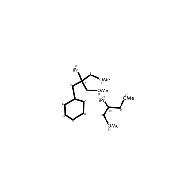 COCC(COC)(CC1CCCCC1)C(C)C.COCC(COC)C(C)C